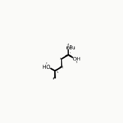 CCCCC(O)CCC(C)O